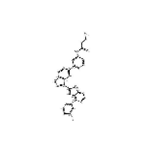 CCCC(=O)Nc1cncc(-c2ccc3[nH]nc(-c4cc5c(-c6cccc(F)c6)cccc5[nH]4)c3c2)c1